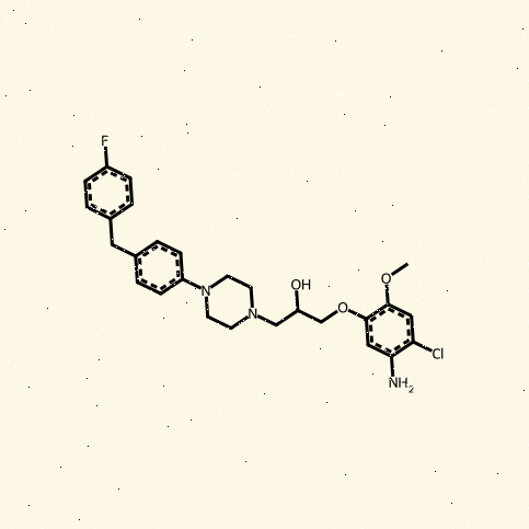 COc1cc(Cl)c(N)cc1OCC(O)CN1CCN(c2ccc(Cc3ccc(F)cc3)cc2)CC1